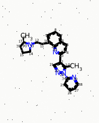 Cc1c(-c2ccc3cccc(CCN4CCC[C@H]4C)c3n2)cnn1-c1ccccn1